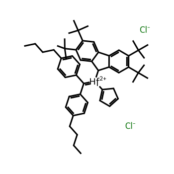 CCCCc1ccc([C](c2ccc(CCCC)cc2)=[Hf+2]([C]2=CC=CC2)[CH]2c3cc(C(C)(C)C)c(C(C)(C)C)cc3-c3cc(C(C)(C)C)c(C(C)(C)C)cc32)cc1.[Cl-].[Cl-]